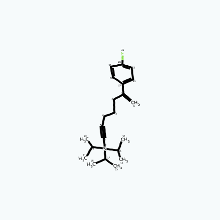 C=C(CCCC#C[Si](C(C)C)(C(C)C)C(C)C)c1ccc(F)cc1